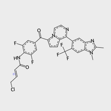 Cc1nc2cc(-c3nccn4c(C(=O)c5cc(F)c(NC(=O)/C=C/CCl)c(F)c5)ccc34)c(C(F)(F)F)cc2n1C